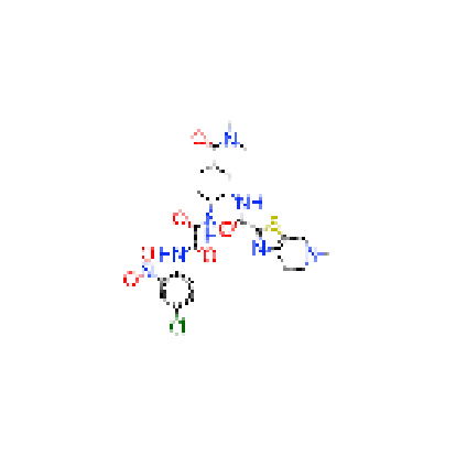 CN1CCc2nc(C(=O)N[C@@H]3C[C@@H](C(=O)N(C)C)CC[C@@H]3NC(=O)C(=O)Nc3ccc(Cl)cc3[N+](=O)[O-])sc2C1